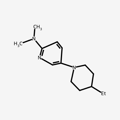 CCC1CCN(c2ccc(N(C)C)nc2)CC1